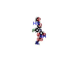 COc1cc(/C=C2/C(C)=C(CC(=O)NCc3ccco3)c3cc(F)ccc32)cc(OC)c1NCC(=O)OCCN(C)C